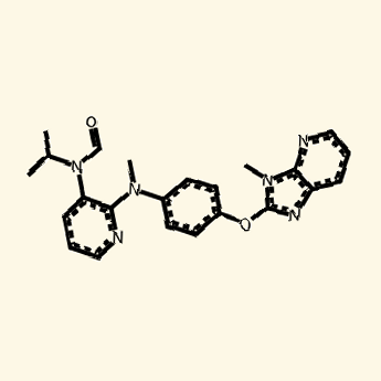 CC(C)N(C=O)c1cccnc1N(C)c1ccc(Oc2nc3cccnc3n2C)cc1